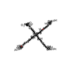 CC(=O)N[C@@H]1CO[C@H](COCCOCCOCCOCCNC(=O)CCOCC(COCCC(=O)NCCOCCOCCOCCOC[C@H]2OC[C@@H](NC(C)=O)[C@@H](O)[C@H]2O)(COCCC(=O)NCCOCCOCCOCCOC[C@H]2OC[C@@H](NC(C)=O)[C@@H](O)[C@H]2O)NC(=O)COCCOCCOCCNc2ccc([N+](=O)[O-])cc2[N+](=O)[O-])[C@H](O)[C@@H]1O